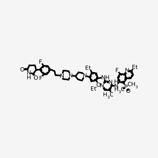 CCOc1cc(N2CCC(N3CCN(CCc4cc(F)c(C5CCC(=O)NC5=O)c(F)c4)CC3)CC2)c(CC)cc1Nc1ncc(C)c(Nc2cc(F)c3nc(CC)ccc3c2P(C)(C)=O)n1